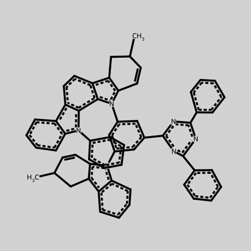 CC1C=Cc2c(c3ccccc3n2-c2cc(-c3nc(-c4ccccc4)nc(-c4ccccc4)n3)cc(-n3c4c(c5ccc6c7ccccc7n(-c7ccccc7)c6c53)CC(C)C=C4)c2)C1